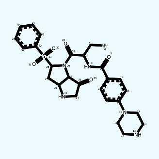 CC(C)CC(NC(=O)c1ccc(N2CCNCC2)cc1)C(=O)N1C2C(=O)CNC2CC1S(=O)(=O)c1ccccc1